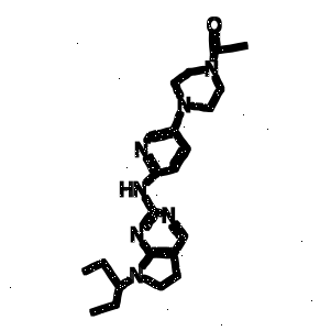 CCC(CC)N1CCc2cnc(Nc3ccc(N4CCN(C(C)=O)CC4)cn3)nc21